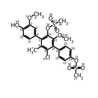 COc1cc(-c2c(C)c(Cl)c(-c3ccc(OS(C)(=O)=O)cc3)c(OC)c2OS(C)(=O)=O)ccc1O